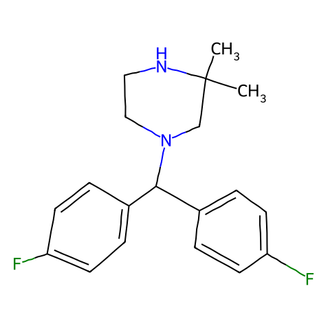 CC1(C)CN(C(c2ccc(F)cc2)c2ccc(F)cc2)CCN1